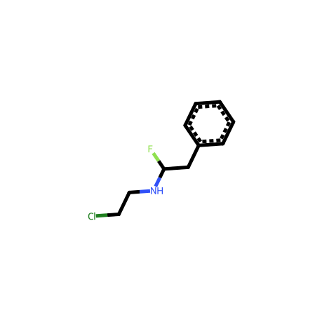 FC(Cc1ccccc1)NCCCl